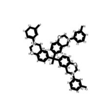 CC1=CC(N2COc3ccc(C(C)(c4ccc5c(c4)CN(c4cccc(C)c4)CO5)c4ccc5c(c4)CN(c4cccc(C)c4)CO5)cc3C2)=CCC1